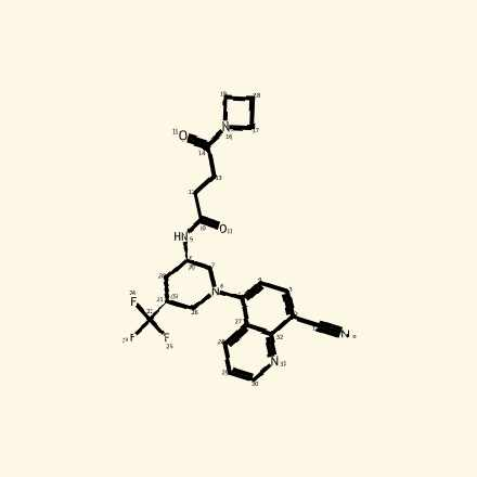 N#Cc1ccc(N2C[C@H](NC(=O)CCC(=O)N3CCC3)C[C@H](C(F)(F)F)C2)c2cccnc12